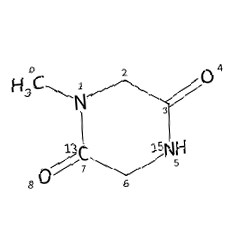 CN1CC(=O)[15NH]C[13C]1=O